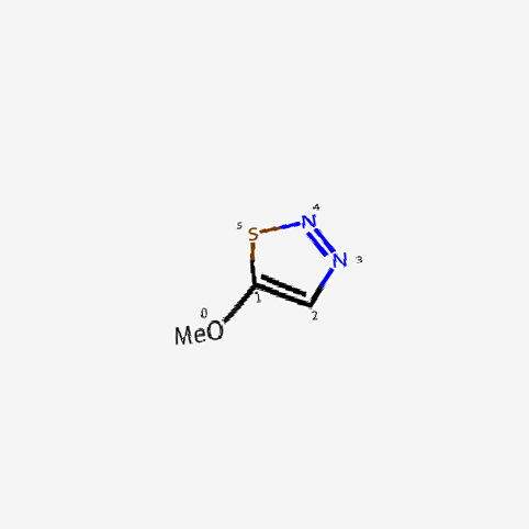 COc1cnns1